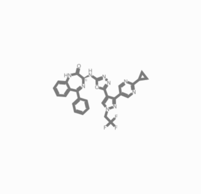 O=C1Nc2ccccc2C(c2ccccc2)=N[C@@H]1Nc1nnc(-c2cn(CC(F)(F)F)nc2-c2cnc(C3CC3)nc2)o1